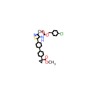 COC(=O)C1(c2ccc(-c3ccc(-c4snc(C)c4NC(=O)OCc4ccc(Cl)cc4)cc3)cc2)CC1